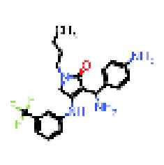 CCCCN1CC(Nc2cccc(C(F)(F)F)c2)=C([C@H](N)c2ccc(N)cc2)C1=O